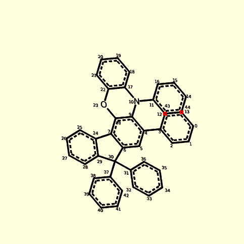 c1ccc(-c2cc3c(c4c2N(c2ccccc2)c2ccccc2O4)-c2ccccc2C3(c2ccccc2)c2ccccc2)cc1